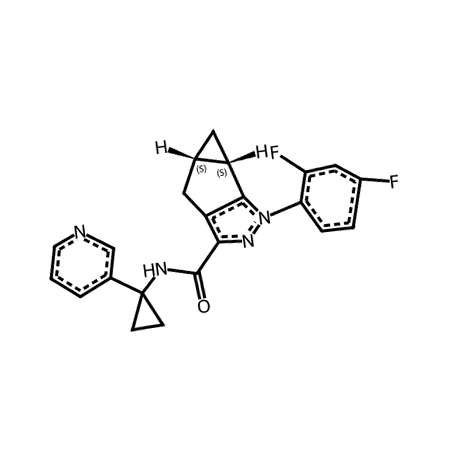 O=C(NC1(c2cccnc2)CC1)c1nn(-c2ccc(F)cc2F)c2c1C[C@@H]1C[C@H]21